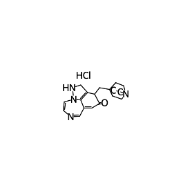 Cl.O=C1C=C2C=NC=CN3NCC(=C23)C1CC12CCN(CC1)CC2